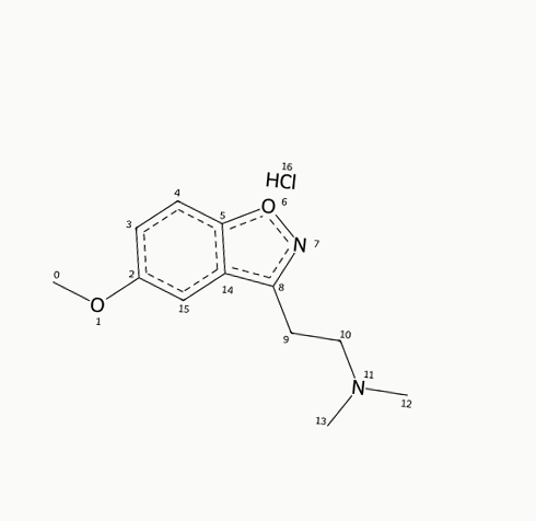 COc1ccc2onc(CCN(C)C)c2c1.Cl